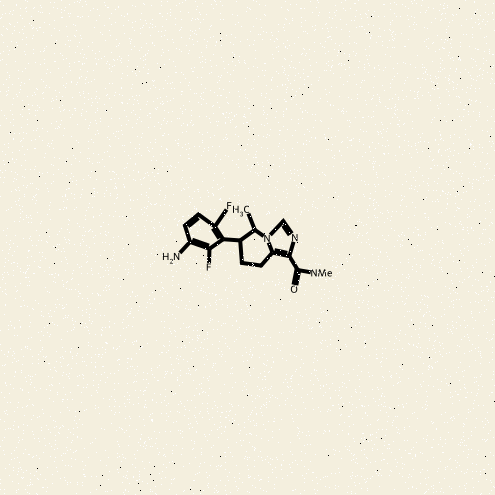 CNC(=O)c1ncn2c1CCC(c1c(F)ccc(N)c1F)C2C